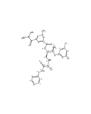 CCCN(CCC)C(=O)c1cc(C)cc(C(=O)O[C@H](CN[C@@H](C)C(=O)NCc2ccccc2)[C@@H](N)Cc2cc(F)cc(F)c2)c1